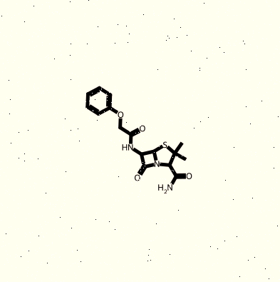 CC1(C)SC2C(NC(=O)COc3ccccc3)C(=O)N2C1C(N)=O